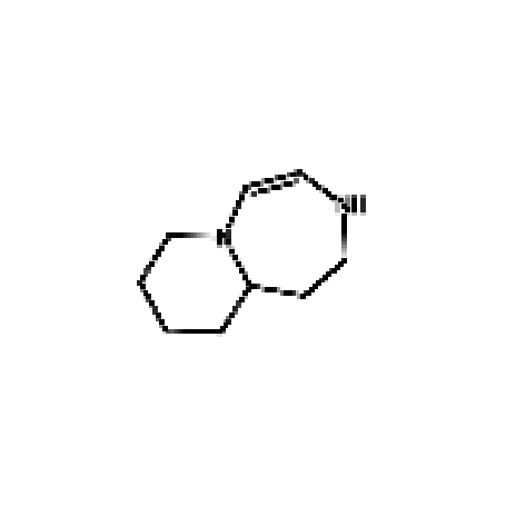 C1=CN2CCCCC2CCN1